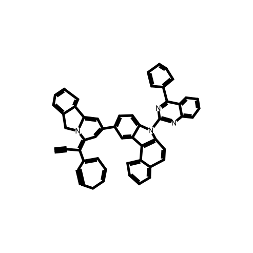 C#C/C(C1=CC=CCC#C1)=C1/C=C(c2ccc3c(c2)c2c4ccccc4ccc2n3-c2nc(-c3ccccc3)c3ccccc3n2)C=C2c3ccccc3CN21